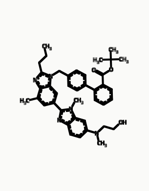 CCCc1nc2c(C)cc(-c3nc4ccc(N(C)CCO)cc4n3C)cc2n1Cc1ccc(-c2ccccc2C(=O)OC(C)(C)C)cc1